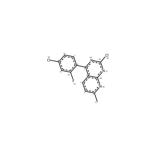 Cc1ccc2c(-c3ccc(Cl)cc3F)nc(Cl)nc2n1